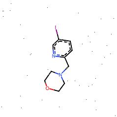 Ic1ccc(CN2CCOCC2)nc1